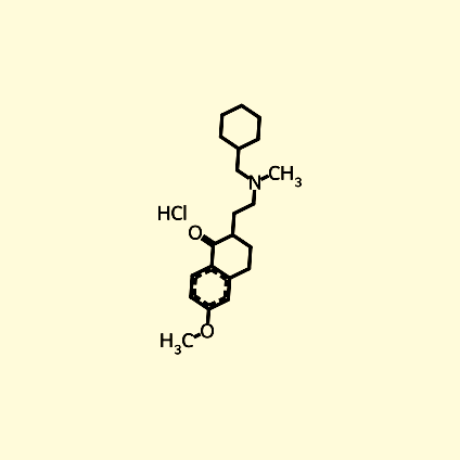 COc1ccc2c(c1)CCC(CCN(C)CC1CCCCC1)C2=O.Cl